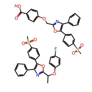 CC(Oc1ccc(F)cc1)c1nc(-c2ccccc2)c(-c2ccc(S(C)(=O)=O)cc2)o1.CS(=O)(=O)c1ccc(-c2oc(COc3ccc(C(=O)O)cc3)nc2-c2ccccc2)cc1